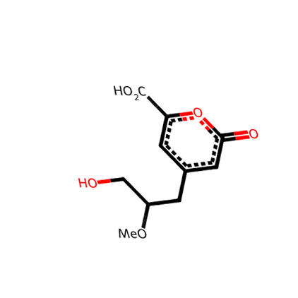 COC(CO)Cc1cc(C(=O)O)oc(=O)c1